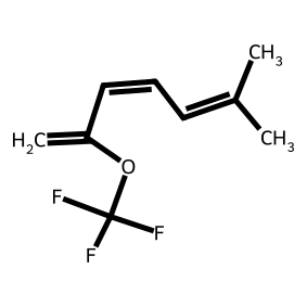 C=C(/C=C\C=C(C)C)OC(F)(F)F